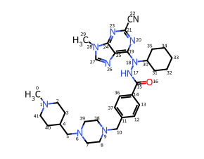 CN1CCC(CN2CCN(Cc3ccc(C(=O)NN(c4nc(C#N)nc5c4ncn5C)C4CCCCC4)cc3)CC2)CC1